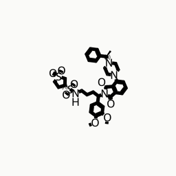 COc1ccc(C(CCCNS(=O)(=O)[C@@H]2CCS(=O)(=O)C2)N2C(=O)c3cccc(N4CCN([C@H](C)c5ccccc5)CC4)c3C2=O)cc1OC